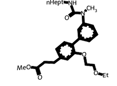 CCCCCCCNC(=O)N(C)c1cccc(-c2ccc(CCC(=O)OC)cc2OCCOCC)c1